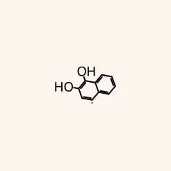 Oc1c[c]c2ccccc2c1O